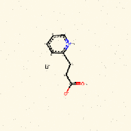 O=C([O-])CCc1ccccn1.[Li+]